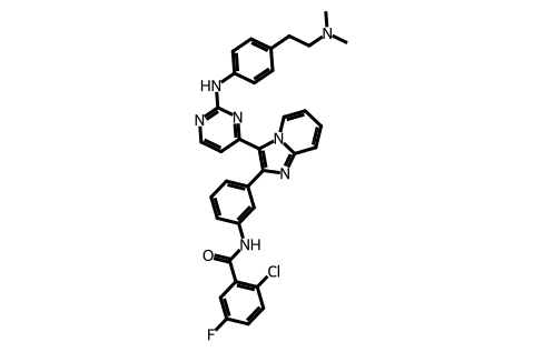 CN(C)CCc1ccc(Nc2nccc(-c3c(-c4cccc(NC(=O)c5cc(F)ccc5Cl)c4)nc4ccccn34)n2)cc1